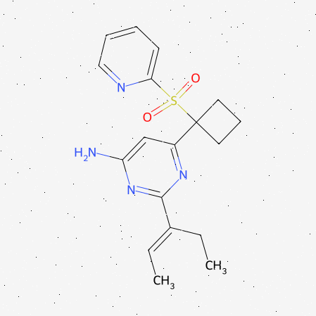 C/C=C(\CC)c1nc(N)cc(C2(S(=O)(=O)c3ccccn3)CCC2)n1